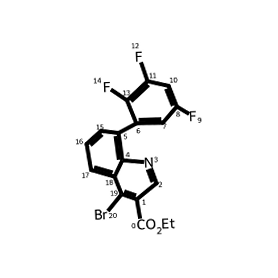 CCOC(=O)c1cnc2c(-c3cc(F)cc(F)c3F)cccc2c1Br